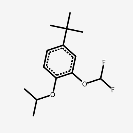 CC(C)Oc1ccc(C(C)(C)C)cc1OC(F)F